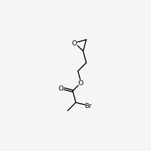 CC(Br)C(=O)OCCC1CO1